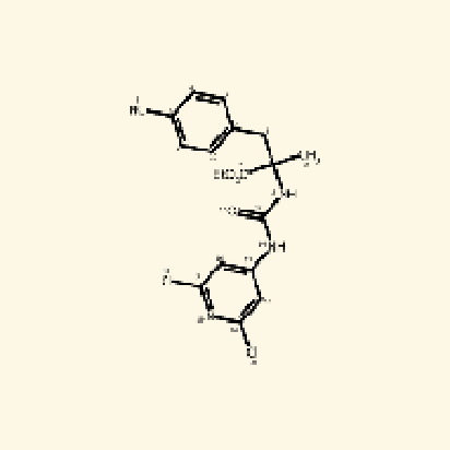 CCOC(=O)C(C)(Cc1ccc(C#N)cc1)NC(=O)Nc1cc(Cl)nc(Cl)c1